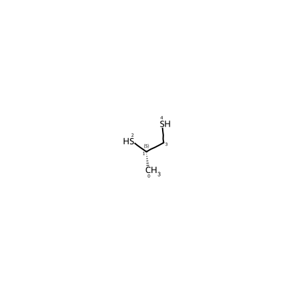 C[C@H](S)CS